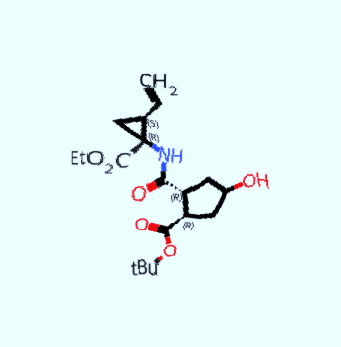 C=C[C@@H]1C[C@]1(NC(=O)[C@@H]1CC(O)C[C@H]1C(=O)OC(C)(C)C)C(=O)OCC